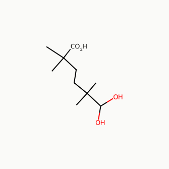 CC(C)(CCC(C)(C)C(O)O)C(=O)O